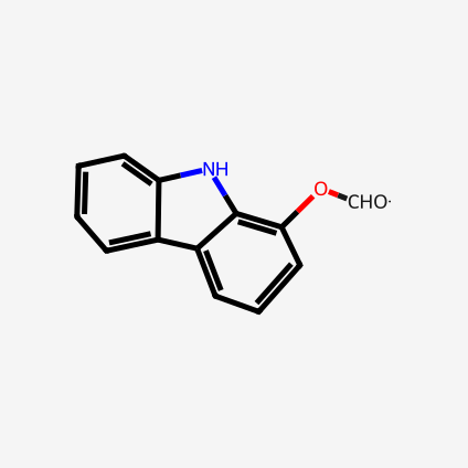 O=[C]Oc1cccc2c1[nH]c1ccccc12